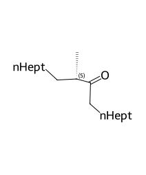 CCCCCCCCC(=O)[C@@H](C)CCCCCCCC